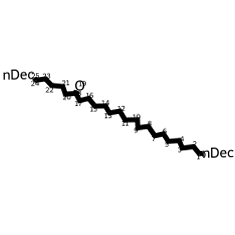 CCCCCCCCCCCCCCCCCCCCCCCCCCCC(=O)CCCCCCCCCCCCCCC